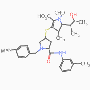 CNc1ccc(CN2C[C@@H](SC3=C(C(=O)O)N(C=O)C([C@H](C)[C@@H](C)O)[C@H]3C)C[C@H]2C(=O)Nc2cccc(C(=O)O)c2)cc1